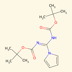 CC(C)(C)OC(=O)/N=C(/NC(=O)OC(C)(C)C)n1cccc1